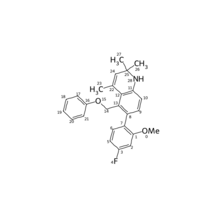 COc1cc(F)ccc1-c1ccc2c(c1COc1ccccc1)C(C)=CC(C)(C)N2